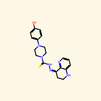 Oc1ccc(N2CCN(C(=S)N/N=C3/CCNc4cccnc43)CC2)cc1